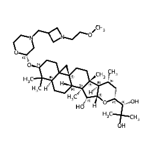 COCCN1CC(CN2CCO[C@@H](O[C@H]3CCC45C[C@]46CC[C@]4(C)[C@@H]7[C@H](O[C@@H]([C@H](O)C(C)(C)O)C[C@H]7C)[C@H](O)[C@@]4(C)[C@@H]6CC[C@H]5C3(C)C)C2)C1